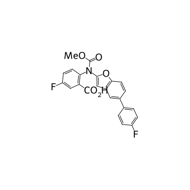 COC(=O)N(c1cc2cc(-c3ccc(F)cc3)ccc2o1)c1ccc(F)cc1C(=O)O